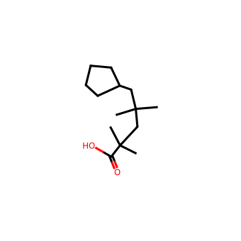 CC(C)(CC1CCCC1)CC(C)(C)C(=O)O